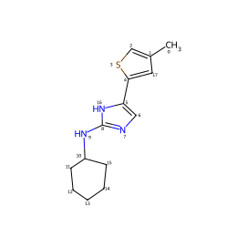 Cc1csc(-c2cnc(NC3CCCCC3)[nH]2)c1